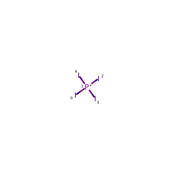 I[P+](I)(I)I